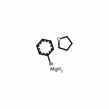 Brc1ccccc1.C1CCOC1.[MgH2]